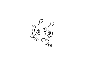 CCOC(=O)[C@H](CCc1ccccc1)N[C@H]1CCc2ccccc2N(CC(=O)O)C1=O.CCOC(=O)[C@H](CCc1ccccc1)N[C@H]1CCc2ccccc2N(CC(=O)O)C1=O